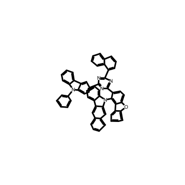 c1ccc(-n2c3ccccc3c3cc(-c4nc(-c5ccc6oc7ccccc7c6c5-n5c6ccccc6c6cc7ccccc7cc65)nc(-c5cccc6ccccc56)n4)ccc32)cc1